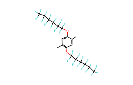 Cc1cc(OC(F)(F)C(F)(F)C(F)(F)C(F)(F)C(F)(F)C(F)(F)F)c(C)cc1OC(F)(F)C(F)(F)C(F)(F)C(F)(F)C(F)(F)C(F)(F)F